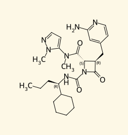 CCC[C@@H](NC(=O)N1C(=O)[C@H](Cc2ccnc(N)c2)[C@H]1C(=O)N(C)c1ccnn1C)C1CCCCC1